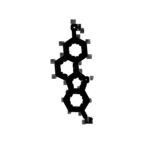 CCc1ccc2c(c1)oc1c3ccc(C)cc3ccc21